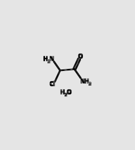 NC(=O)C(N)Cl.O